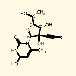 CC1=CC(O)NC(=O)N1[C@@H]1O[C@H]([C@@H](C)O)[C@H](O)C1(O)C#CCl